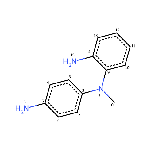 CN(c1ccc(N)cc1)c1ccccc1N